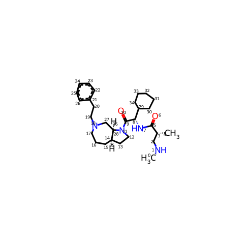 CNC[C@@H](C)C(=O)N[C@H](C(=O)N1CC[C@H]2CCCN(CCc3ccccc3)C[C@H]21)C1CCCCC1